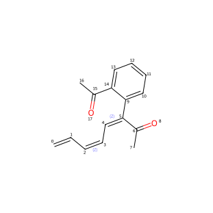 C=C/C=C\C=C(/C(C)=O)c1ccccc1C(C)=O